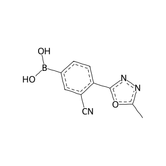 Cc1nnc(-c2ccc(B(O)O)cc2C#N)o1